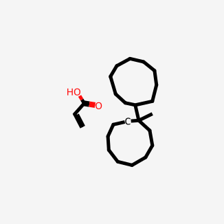 C=CC(=O)O.CC1(C2CCCCCCCCC2)CCCCCCCCC1